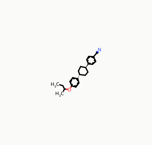 CCC(C)Oc1ccc([C@H]2CC[C@H](c3ccc(C#N)cc3)CC2)cc1